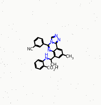 Cc1cc(C(C)Nc2ccccc2C(=O)O)c2nc(-c3cccc(C#N)c3)n3cnnc3c2c1